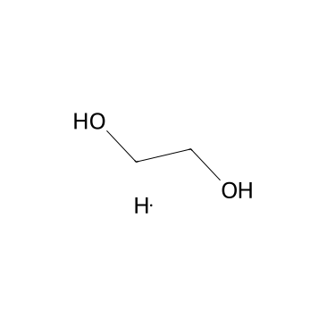 OCCO.[H]